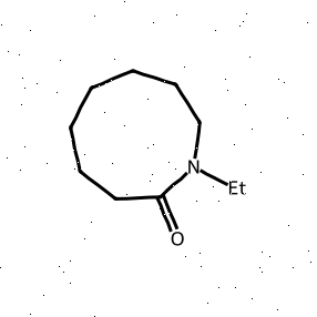 CCN1CCCCCCCC1=O